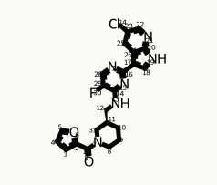 O=C(c1ccco1)N1CCC[C@H](CNc2nc(-c3c[nH]c4ncc(Cl)cc34)ncc2F)C1